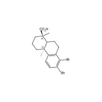 CC(C)c1ccc2c(c1Br)CCC1[C@](C)(C(=O)O)CCC[C@]21C